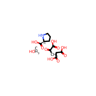 CC(=O)C(=O)O.CO.O=C(O)CC(=O)O.O=C(O)[C@@H]1CCCN1